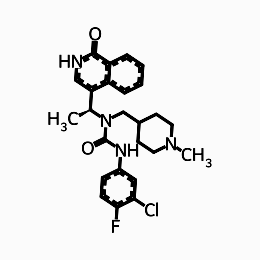 C[C@@H](c1c[nH]c(=O)c2ccccc12)N(CC1CCN(C)CC1)C(=O)Nc1ccc(F)c(Cl)c1